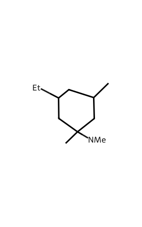 CCC1CC(C)CC(C)(NC)C1